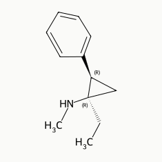 CC[C@@]1(NC)C[C@@H]1c1ccccc1